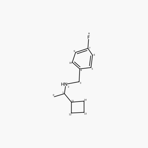 CC(NCc1ccc(F)cc1)C1CCC1